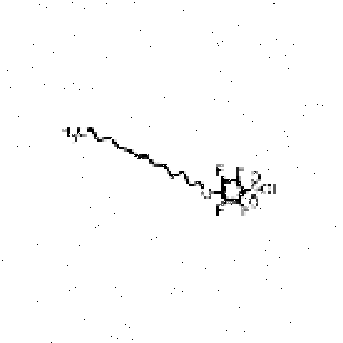 CCCCCCCCCCCCCCOc1c(F)c(F)c(S(=O)(=O)O)c(F)c1F